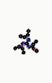 c1ccc(-c2ccc3c(c2)c2cc(-c4ccccc4)ccc2n3-c2ccnc(-c3cc(-c4nccc(-n5c6ccc(-c7ccccc7)cc6c6cc(-c7ccccc7)ccc65)n4)cc(-c4nccc(-n5c6ccc(-c7ccccc7)cc6c6cc(-c7ccccc7)ccc65)n4)c3)n2)cc1